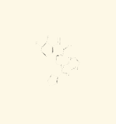 O=c1cc(Cn2c(-c3ccsc3)nc3nccnc32)c2ccc(F)c(F)c2[nH]1